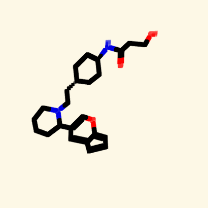 O=C(CCO)N[C@H]1CC[C@H](CCN2CCCCC2c2coc3cccc-3c2)CC1